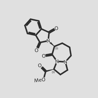 COC(=O)[C@@H]1CCN2CCC[C@H](N3C(=O)c4ccccc4C3=O)C(=O)N12